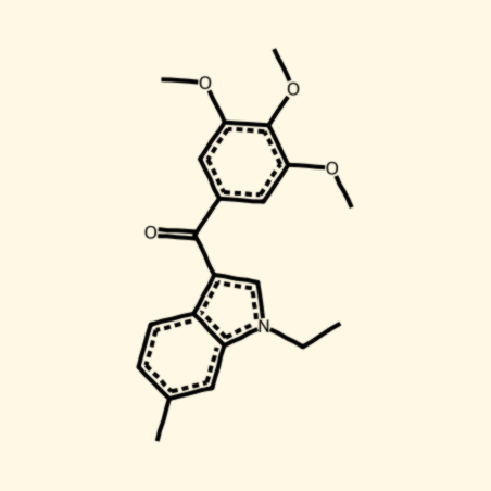 CCn1cc(C(=O)c2cc(OC)c(OC)c(OC)c2)c2ccc(C)cc21